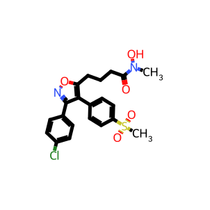 CN(O)C(=O)CCCc1onc(-c2ccc(Cl)cc2)c1-c1ccc(S(C)(=O)=O)cc1